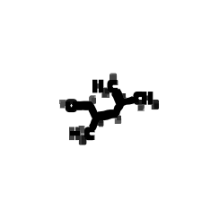 C=C(C)/C=C(/C)C=O